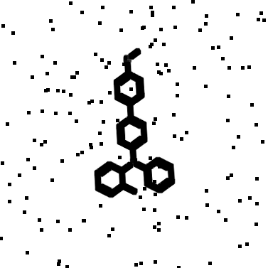 COc1ccc(-c2ccc(N(c3ccccc3)C3C=CC=CC3C)cc2)cc1